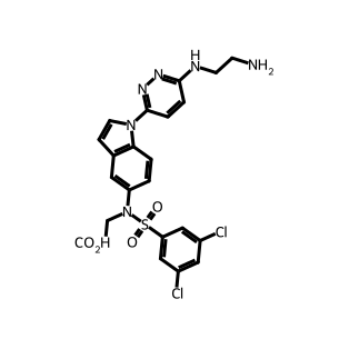 NCCNc1ccc(-n2ccc3cc(N(CC(=O)O)S(=O)(=O)c4cc(Cl)cc(Cl)c4)ccc32)nn1